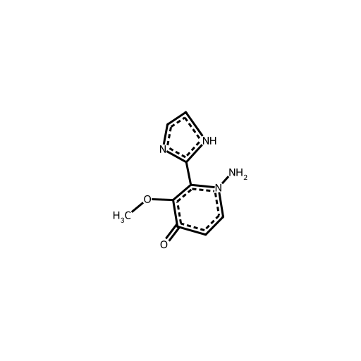 COc1c(-c2ncc[nH]2)n(N)ccc1=O